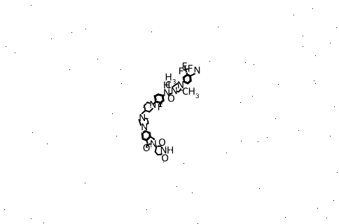 C[C@@H]1CN(c2ccc(C#N)c(C(F)(F)F)c2)[C@@H](C)CN1C(=O)Nc1ccc(N2CCC(CN3CCN(c4ccc5c(c4)CN(C4CCC(=O)NC4=O)C5=O)CC3)CC2)c(F)c1